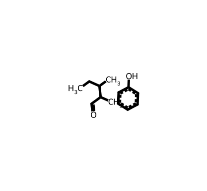 CCC(C)C(C)C=O.Oc1ccccc1